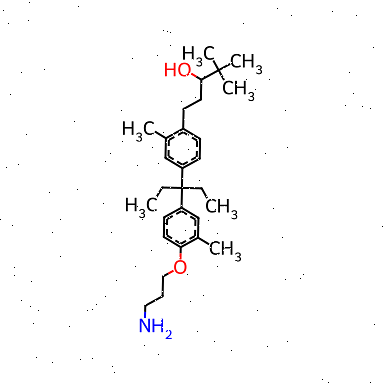 CCC(CC)(c1ccc(CCC(O)C(C)(C)C)c(C)c1)c1ccc(OCCCN)c(C)c1